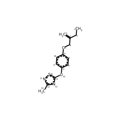 C=C(CC)COc1ccc(Oc2nc(C)ns2)cc1